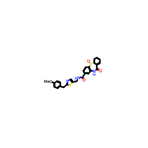 COc1ccc(Cc2ncc(CNC(=O)c3ccc4c(c3)NC(=O)c3ccccc3[S+]4[O-])s2)cc1